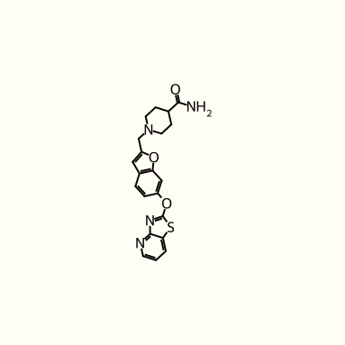 NC(=O)C1CCN(Cc2cc3ccc(Oc4nc5ncccc5s4)cc3o2)CC1